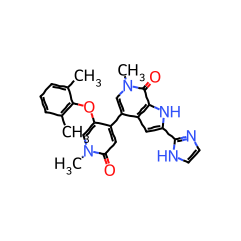 Cc1cccc(C)c1Oc1cn(C)c(=O)cc1-c1cn(C)c(=O)c2[nH]c(-c3ncc[nH]3)cc12